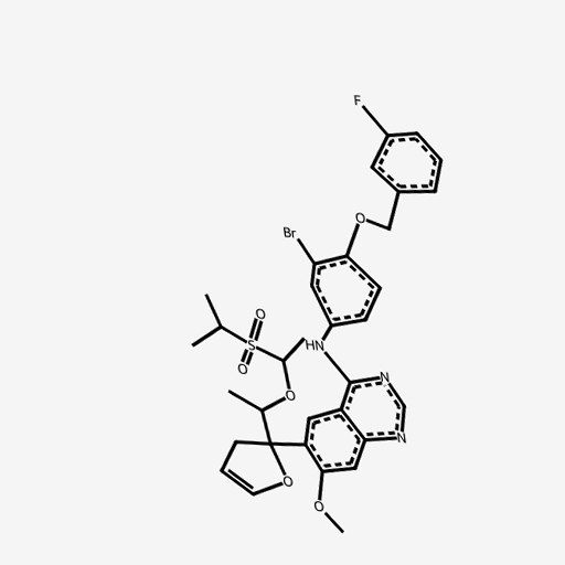 COc1cc2ncnc(Nc3ccc(OCc4cccc(F)c4)c(Br)c3)c2cc1C1(C(C)OC(C)S(=O)(=O)C(C)C)CC=CO1